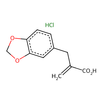 C=C(Cc1ccc2c(c1)OCO2)C(=O)O.Cl